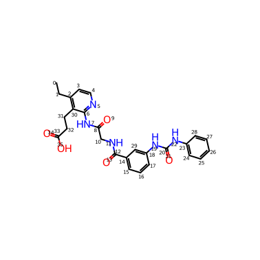 CCc1ccnc(NC(=O)CNC(=O)c2cccc(NC(=O)Nc3ccccc3)c2)c1CCC(=O)O